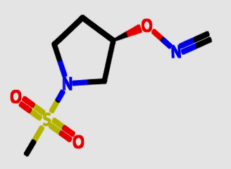 C=NO[C@@H]1CCN(S(C)(=O)=O)C1